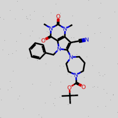 Cn1c(=O)c2c(c(C#N)c(N3CCCN(C(=O)OC(C)(C)C)CC3)n2Cc2ccccc2)n(C)c1=O